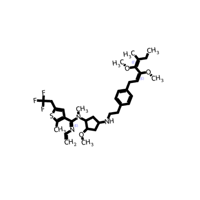 C=C/N=C(\c1cc(CC(F)(F)F)sc1C)N(C)C1CC(NCCc2ccc(C/C=C(OC)\C(OC)=C(\C)CC)cc2)CC1OC